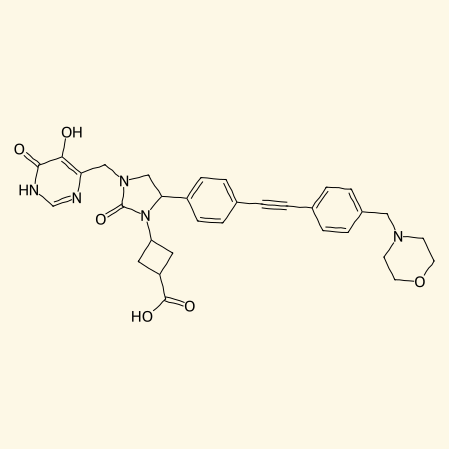 O=C(O)C1CC(N2C(=O)N(Cc3nc[nH]c(=O)c3O)CC2c2ccc(C#Cc3ccc(CN4CCOCC4)cc3)cc2)C1